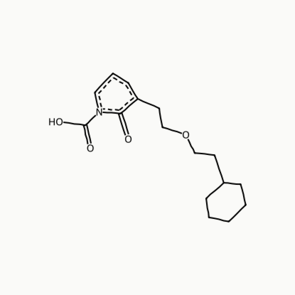 O=C(O)n1cccc(CCOCCC2CCCCC2)c1=O